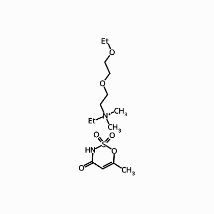 CC1=CC(=O)NS(=O)(=O)O1.CCOCCOCC[N+](C)(C)CC